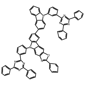 c1ccc(-c2nc(-c3ccccc3)nc(-c3cccc(-n4c5ccccc5c5cc(-c6ccc7c(c6)c6cc8oc(-c9ccccc9)nc8cc6n7-c6cccc(-c7nc(-c8ccccc8)nc(-c8ccccc8)n7)c6)ccc54)c3)n2)cc1